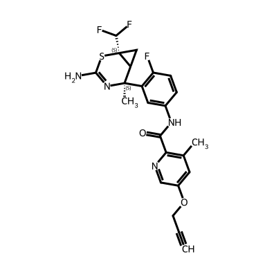 C#CCOc1cnc(C(=O)Nc2ccc(F)c([C@@]3(C)N=C(N)S[C@@]4(C(F)F)CC43)c2)c(C)c1